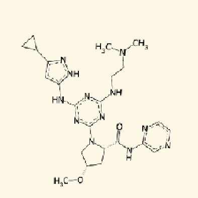 CO[C@H]1C[C@@H](C(=O)Nc2cnccn2)N(c2nc(NCCN(C)C)nc(Nc3cc(C4CC4)n[nH]3)n2)C1